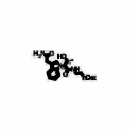 CCCCCCCCCCCCNC(=O)[C@H]([C@@H](C)O)n1cc(CC(N)=O)c2ccccc21